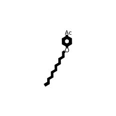 C=CCCCCCCCCCOc1ccc(C(C)=O)cc1